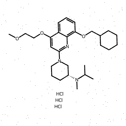 COCCOc1cc(N2CCC[C@@H](N(C)C(C)C)C2)nc2c(OCC3CCCCC3)cccc12.Cl.Cl.Cl